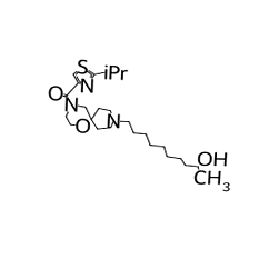 CC(O)CCCCCCCCN1CCC2(CC1)CN(C(=O)c1csc(C(C)C)n1)CCO2